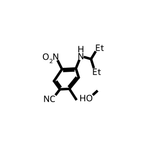 CCC(CC)Nc1cc(C)c(C#N)cc1[N+](=O)[O-].CO